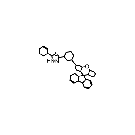 C1=CC2C3C=CCCC3C3(C2C=C1)C1CCCCC1OC1CC(C2CCCC(C4=NNC(C5C=CCCC5)S4)C2)CCC13